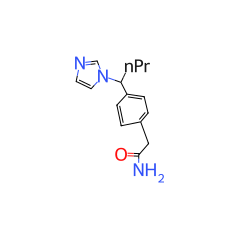 CCCC(c1ccc(CC(N)=O)cc1)n1ccnc1